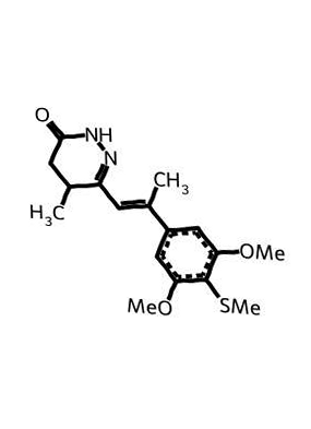 COc1cc(C(C)=CC2=NNC(=O)CC2C)cc(OC)c1SC